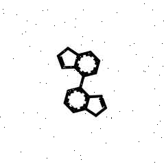 C1=Cc2c(cccc2-c2cccc3c2C=CC3)C1